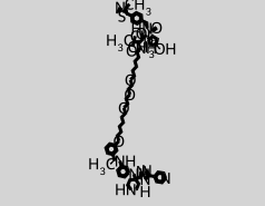 Cc1ncsc1-c1ccc(CNC(=O)[C@@H]2C[C@@H](O)CN2C(=O)[C@@H](NC(=O)CCCCCOCCOCCOCCCCCCOc2cccc([C@H](C)Nc3cccc(NC4(c5nnc(-c6ccncc6)[nH]5)CCNCC4)c3)c2)C(C)(C)C)cc1